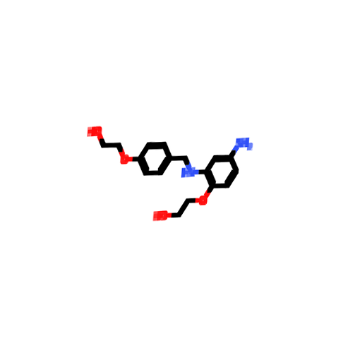 Nc1ccc(OCCO)c(NCc2ccc(OCCO)cc2)c1